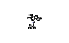 CCC(O)(CC)C/C=C/C1=NN(C(C)C)B(O)c2cnc3[nH]ccc3c21